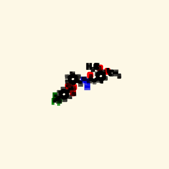 COc1ccc(CC(=O)N/N=C/c2ccccc2OS(=O)(=O)c2ccc(C(F)(F)F)cc2)cc1OC